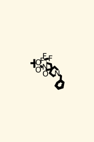 CC(C)(C)OC(=O)N1C(=O)C2(CCN(Cc3ccccc3)CC2)C[C@H]1C(F)(F)F